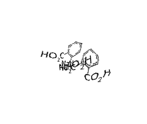 O=C(O)c1ccccc1C(=O)O.O=C(O)c1ccccc1C(=O)O.[NaH].[NaH]